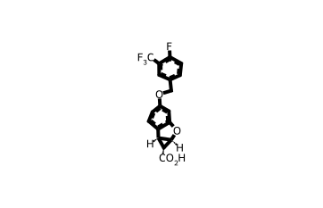 O=C(O)[C@H]1[C@@H]2Oc3cc(OCc4ccc(F)c(C(F)(F)F)c4)ccc3[C@@H]21